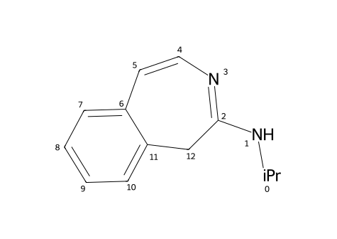 CC(C)NC1=NC=Cc2ccccc2C1